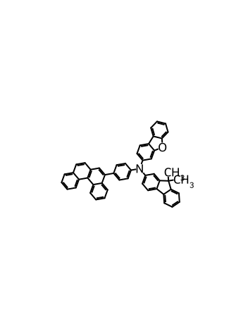 CC1(C)c2ccccc2-c2ccc(N(c3ccc(-c4cc5ccc6ccccc6c5c5ccccc45)cc3)c3ccc4c(c3)oc3ccccc34)cc21